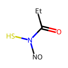 CCC(=O)N(S)N=O